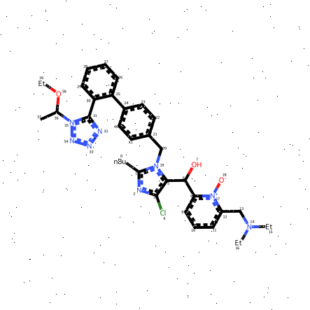 CCCCc1nc(Cl)c(C(O)c2cccc(CN(CC)CC)[n+]2[O-])n1Cc1ccc(-c2ccccc2-c2nnnn2C(C)OCC)cc1